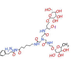 C[C@@H]1O[C@@H](OCCNC(=O)CN(CC(=O)NCCCCCC(=O)NC(=O)[C@@H](N)Cc2ccccc2)CC(=O)NC(CCO[C@H]2O[C@H](CO)[C@@H](O)[C@H](O)[C@@H]2O)COI)[C@@H](O)[C@H](O)[C@@H]1O